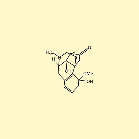 COC1(O)CC=CC2=C1[C@]13CCN(C)[C@H](C2)[C@]1(O)CCC(=O)C3